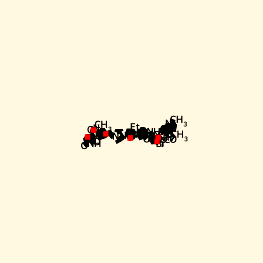 CCc1cc(Nc2ncc(Br)c(Nc3ccc4nc(C)ccc4c3P(C)(C)=O)n2)c(OC)cc1N1CCC(N2CCN(CCc3ccc4c(c3)n(C)c(=O)n4C3CCC(=O)NC3=O)CC2)CC1